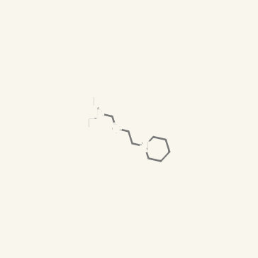 FB(F)COCCN1CCCCC1